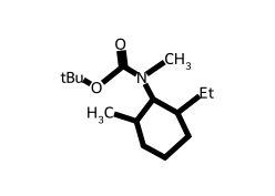 CCC1CCCC(C)C1N(C)C(=O)OC(C)(C)C